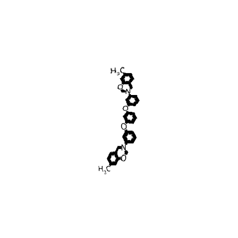 Cc1ccc2c(c1)OCN(c1cccc(Oc3cccc(Oc4cccc(N5COc6cc(C)ccc6C5)c4)c3)c1)C2